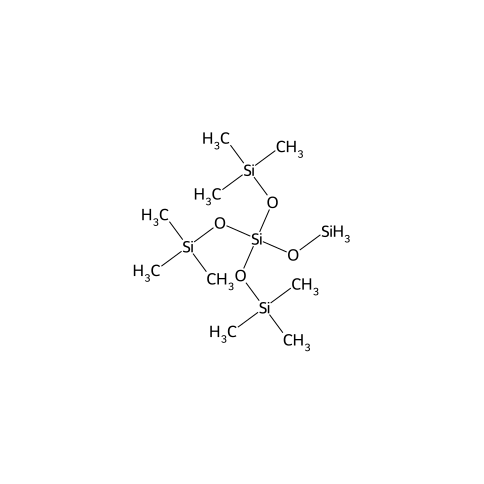 C[Si](C)(C)O[Si](O[SiH3])(O[Si](C)(C)C)O[Si](C)(C)C